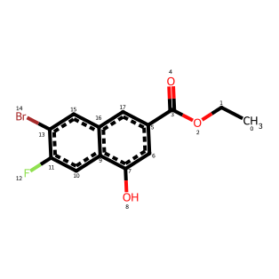 CCOC(=O)c1cc(O)c2cc(F)c(Br)cc2c1